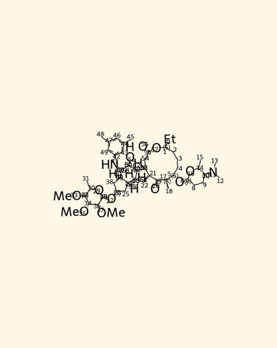 CC[C@H]1CCC[C@H](O[C@H]2CC[C@H](N(C)C)C(C)O2)[C@@H](C)C(=O)C2=C[C@H]3[C@@H]4C[C@H](O[C@@H]5OC(C)[C@H](OC)C(OC)C5OC)C[C@H]4[C@H](Nc4cc(C)cc(C)c4)[C@@H](O)[C@H]3[C@@H]2CC(=O)O1